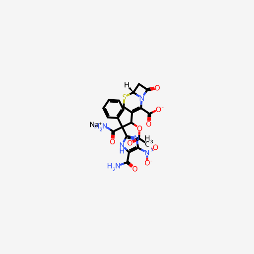 CC(=O)OC(C1=C(C(=O)[O-])N2C(=O)C[C@H]2SC1)C(C(N)=O)(c1ccccc1)c1nc([N+](=O)[O-])c(C(N)=O)[nH]1.[Na+]